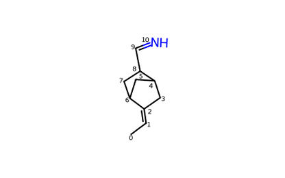 CC=C1CC2CC1CC2C=N